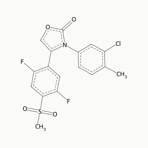 Cc1ccc(-n2c(-c3cc(F)c(S(C)(=O)=O)cc3F)coc2=O)cc1Cl